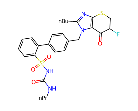 CCCCc1nc2c(n1Cc1ccc(-c3ccccc3S(=O)(=O)NC(=O)NCCC)cc1)C(=O)C(F)CS2